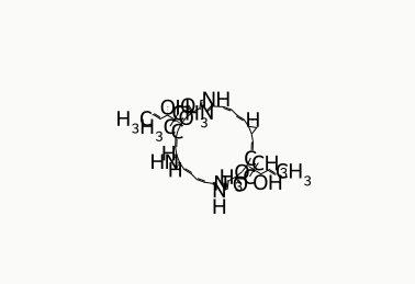 C/C=C/[C@H](O)C(C)(C)[C@@H]1C/C=C\C2C[C@@H]2/C=C/C=C\c2nc(c[nH]2)C(=O)O[C@H](C(C)(C)[C@@H](O)/C=C/C)C/C=C\[C@H]2N[C@H]2/C=C/C=C\c2nc(c[nH]2)C(=O)O1